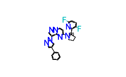 Fc1ccc(F)c([C@H]2CCCN2c2ccn3ncc(-n4cc(-c5ccccc5)cn4)c3n2)n1